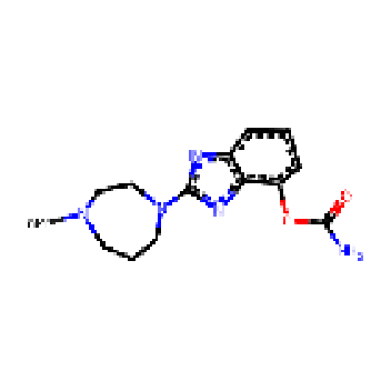 CCCN1CCCN(c2nc3c(OC(N)=O)cccc3[nH]2)CC1